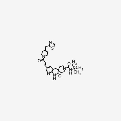 CC(C)(C)NC(=O)N1CCC2(CC1)Cc1cc(C=CC(=O)N3CC=C(Cc4nccs4)CC3)cnc1NC2=O